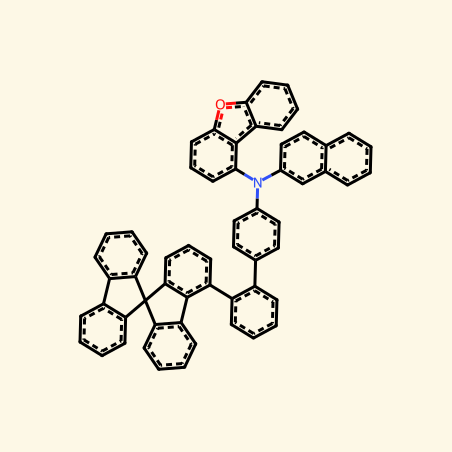 c1ccc(-c2cccc3c2-c2ccccc2C32c3ccccc3-c3ccccc32)c(-c2ccc(N(c3ccc4ccccc4c3)c3cccc4oc5ccccc5c34)cc2)c1